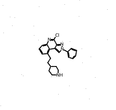 Clc1nc2cccc(CCC3CCNCC3)c2c2cn(-c3ccccc3)nc12